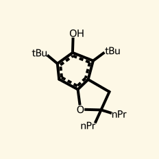 CCCC1(CCC)Cc2c(cc(C(C)(C)C)c(O)c2C(C)(C)C)O1